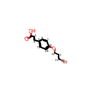 O=C(O)/C=C/c1ccc(OCCCBr)cc1